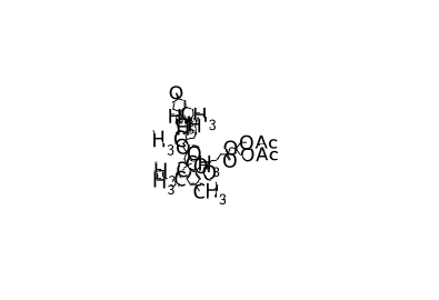 CC(=O)OCC(COC(C)=O)OC(=O)CCCC(=O)Oc1cc(C)cc(C)c1C(C)(C)CC(=O)OC1CC[C@H]2[C@@H]3CCC4=CC(=O)CCC4(C)[C@H]3CCC12C